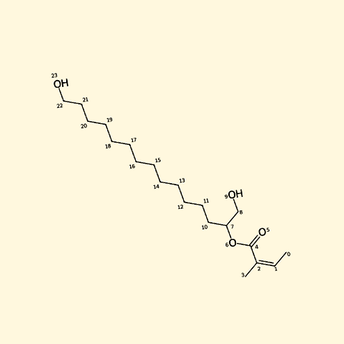 CC=C(C)C(=O)OC(CO)CCCCCCCCCCCCCO